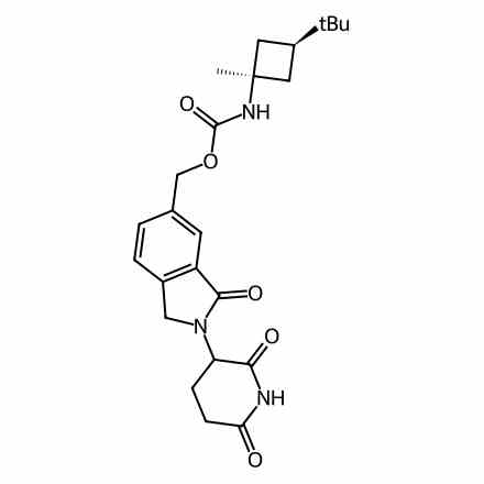 CC(C)(C)[C@H]1C[C@@](C)(NC(=O)OCc2ccc3c(c2)C(=O)N(C2CCC(=O)NC2=O)C3)C1